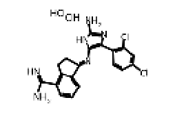 Cl.Cl.N=C(N)c1cccc2c1CCC2=Nc1[nH]c(N)nc1-c1ccc(Cl)cc1Cl